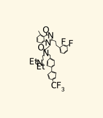 CCN(CC)CCN(Cc1ccc(-c2ccc(C(F)(F)F)cc2)cc1)C(=O)Cn1c(CCc2cccc(F)c2F)nc(=O)c2c(C)cccc21